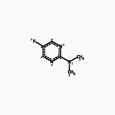 CN(C)c1ncc(F)cn1